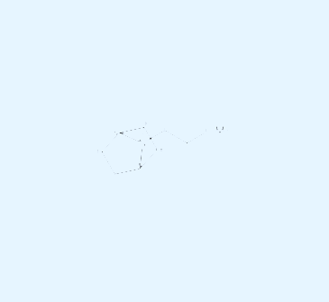 COCCN1C2CCC1CC2